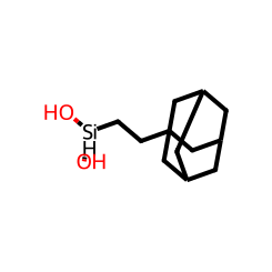 O[SiH](O)CCC12CC3CC(CC(C3)C1)C2